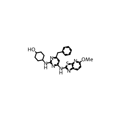 COc1ccc2nc(Nc3cc(Cc4ccccc4)nc(NC4CCC(O)CC4)n3)sc2n1